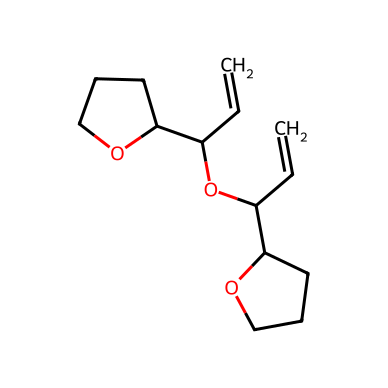 C=CC(OC(C=C)C1CCCO1)C1CCCO1